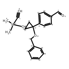 C#C[Si](C)(C)C.O=Cc1ccc(C2(OCc3ccccc3)CC2)cc1